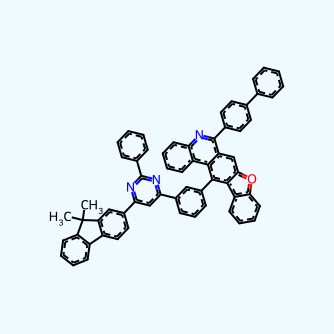 CC1(C)c2ccccc2-c2ccc(-c3cc(-c4cccc(-c5c6c(cc7c(-c8ccc(-c9ccccc9)cc8)nc8ccccc8c57)oc5ccccc56)c4)nc(-c4ccccc4)n3)cc21